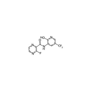 O=C(Nc1cc(C(F)(F)F)cnc1O)c1nccnc1F